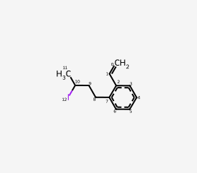 C=Cc1ccccc1CCC(C)I